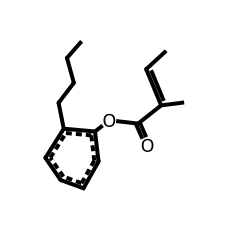 CC=C(C)C(=O)Oc1ccccc1CCCC